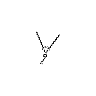 CCCCCCCCCCCCCC(=O)OCCN(CCOC(=O)CCCCCCCCCCCCC)C1CCN(CCCCN(C)C)CC1